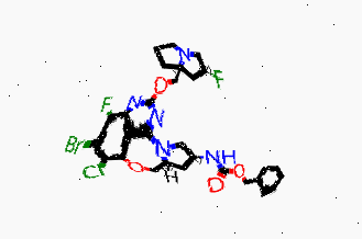 O=C(N[C@@H]1C[C@H]2COc3c(Cl)c(Br)c(F)c4nc(OC[C@@]56CCCN5C[C@H](F)C6)nc(c34)N2C1)OCc1ccccc1